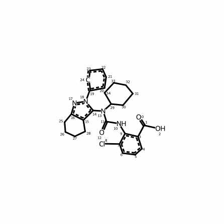 O=C(O)c1cccc(Cl)c1NC(=O)N(c1c2c(nn1-c1ccccc1)CCCC2)C1CCCCC1